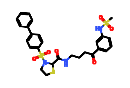 CS(=O)(=O)Nc1cccc(C(=O)CCCNC(=O)C2SCCN2S(=O)(=O)c2ccc(-c3ccccc3)cc2)c1